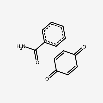 NC(=O)c1ccccc1.O=C1C=CC(=O)C=C1